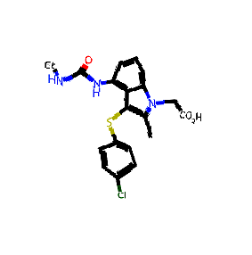 CCNC(=O)Nc1cccc2c1c(Sc1ccc(Cl)cc1)c(C)n2CC(=O)O